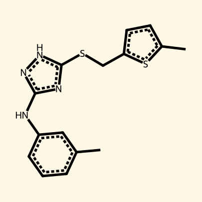 Cc1cccc(Nc2n[nH]c(SCc3ccc(C)s3)n2)c1